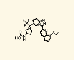 CCSc1cccc2ccc(-c3nnc4ccc([C@@H](N5CCC(NC(=O)O)C5)C(F)(F)F)cn34)nc12